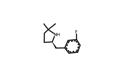 CC1(C)CC[C@H](Cc2cccc(F)c2)N1